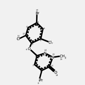 CC(C)c1cc(Oc2c(Cl)cc(Br)cc2Cl)nn(C)c1=O